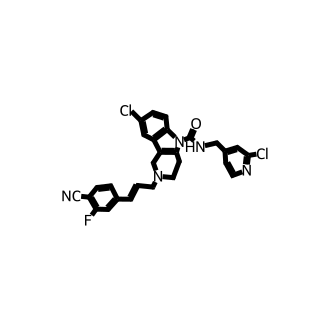 N#Cc1ccc(/C=C/CN2CCc3c(c4cc(Cl)ccc4n3C(=O)NCc3ccnc(Cl)c3)C2)cc1F